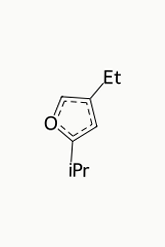 CCc1coc(C(C)C)c1